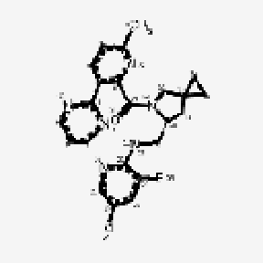 Cc1ccc(-c2ncccn2)c(C(=O)N2CC3(CC3)C[C@H]2CNc2ncc(Cl)cc2F)n1